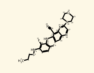 CCCSNc1ccc(F)c(Nc2ccc3ncc(N4CCOCC4)nc3c2C#N)c1F